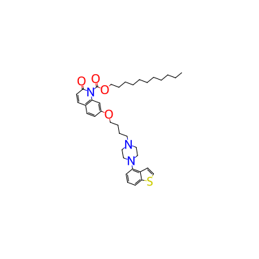 CCCCCCCCCCCOC(=O)n1c(=O)ccc2ccc(OCCCCN3CCN(c4cccc5sccc45)CC3)cc21